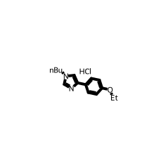 CCCCn1cnc(-c2ccc(OCC)cc2)c1.Cl